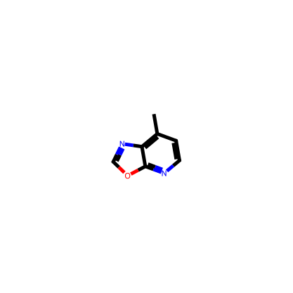 Cc1ccnc2ocnc12